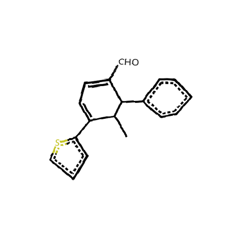 CC1C(c2cccs2)=CC=C(C=O)C1c1ccccc1